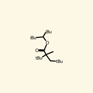 CCC(C)C(OC(=O)C(C)(CC(C)(C)C)C(C)(C)C)C(C)CC